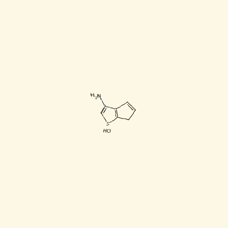 Cl.Nc1csc2c1C=CC2